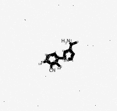 CC(N)c1ccnc(-c2ccc(F)c(C#N)c2F)c1